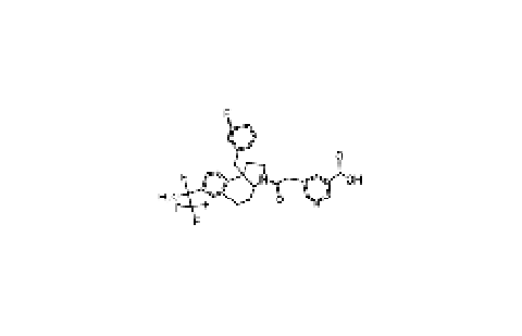 CC(F)(c1ccc2c(c1)CCC1N(C(=O)Cc3cncc(C(=O)O)c3)CCC21Cc1cccc(F)c1)C(F)(F)F